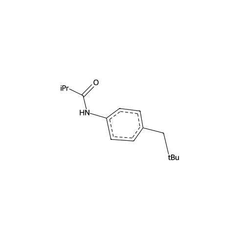 CC(C)C(=O)Nc1ccc(CC(C)(C)C)cc1